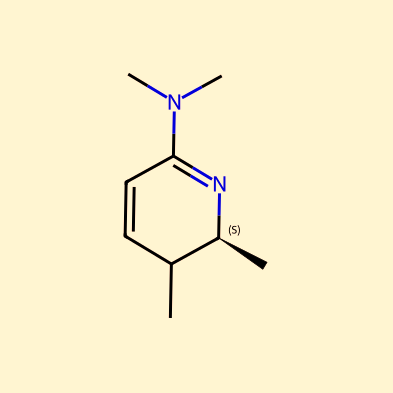 CC1C=CC(N(C)C)=N[C@H]1C